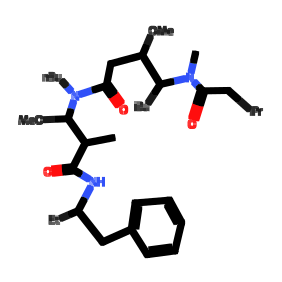 CCCCN(C(=O)CC(OC)C(C(C)CC)N(C)C(=O)CC(C)C)C(OC)C(C)C(=O)NC(CC)Cc1ccccc1